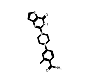 Cc1cc(N2CCN(c3nc4ccsc4c(=O)[nH]3)CC2)ccc1C(N)=O